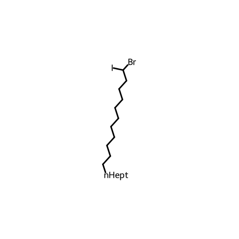 CCCCCCCCCCCCCCCCCC(Br)I